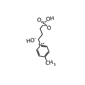 Cc1cc[n+](CCCS(=O)(=O)O)cc1.[OH-]